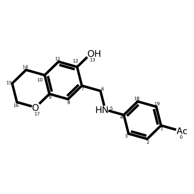 CC(=O)c1ccc(NCc2cc3c(cc2O)CCCO3)cc1